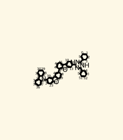 C1=CCCC(C2NC(c3ccc4c(c3)oc3c(-c5ccc6oc7ccc(-n8c9ccccc9c9ccccc98)cc7c6c5)cccc34)=NC(c3ccccc3)N2)=C1